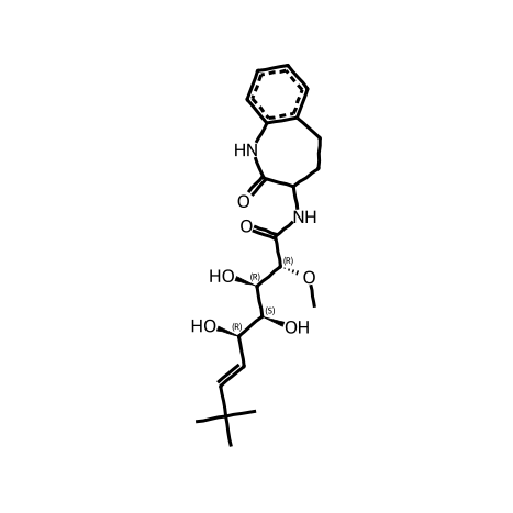 CO[C@@H](C(=O)NC1CCc2ccccc2NC1=O)[C@H](O)[C@@H](O)[C@H](O)C=CC(C)(C)C